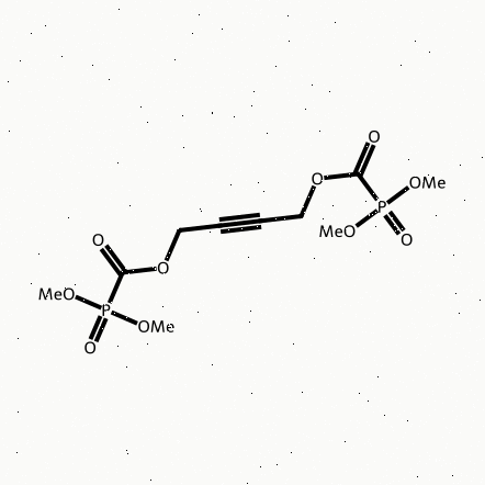 COP(=O)(OC)C(=O)OCC#CCOC(=O)P(=O)(OC)OC